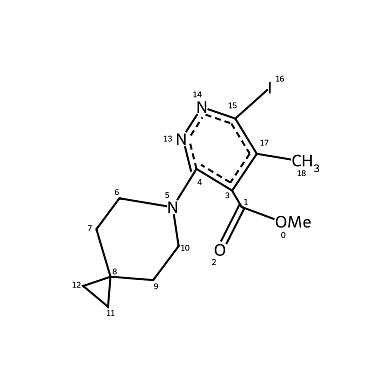 COC(=O)c1c(N2CCC3(CC2)CC3)nnc(I)c1C